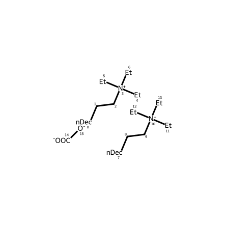 CCCCCCCCCCCC[N+](CC)(CC)CC.CCCCCCCCCCCC[N+](CC)(CC)CC.O=C([O-])[O-]